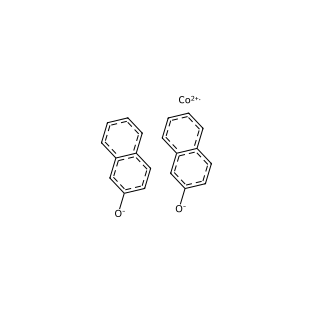 [Co+2].[O-]c1ccc2ccccc2c1.[O-]c1ccc2ccccc2c1